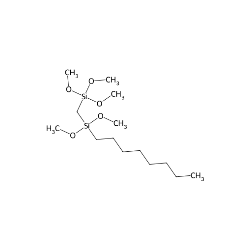 CCCCCCCC[Si](C[Si](OC)(OC)OC)(OC)OC